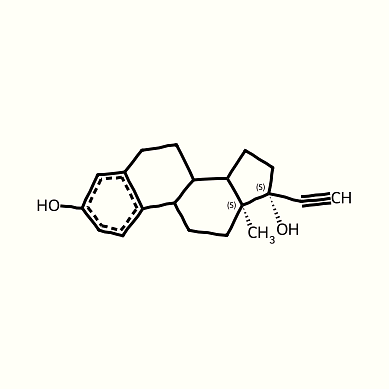 C#C[C@]1(O)CCC2C3CCc4cc(O)ccc4C3CC[C@@]21C